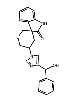 O=C1Nc2ccccc2C12COCC(n1cc(C(O)c3ccccc3)nn1)C2